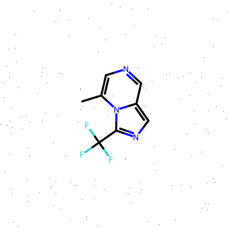 Cc1cncc2cnc(C(F)(F)F)n12